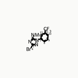 CNc1nc(Br)nn1-c1cccc(C(F)(F)F)c1